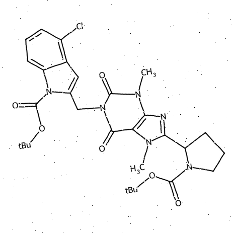 Cn1c(C2CCCN2C(=O)OC(C)(C)C)nc2c1c(=O)n(Cc1cc3c(Cl)cccc3n1C(=O)OC(C)(C)C)c(=O)n2C